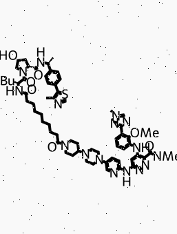 CNC(=O)c1nnc(Nc2ccc(N3CCN(C4CCN(C(=O)CCCCCCCCC(=O)N[C@H](C(=O)N5C[C@H](O)C[C@H]5C(=O)N[C@@H](C)c5ccc(-c6scnc6C)cc5)C(C)(C)C)CC4)CC3)cn2)cc1Nc1cccc(-c2ncn(C)n2)c1OC